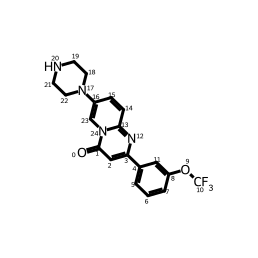 O=c1cc(-c2cccc(OC(F)(F)F)c2)nc2ccc(N3CCNCC3)cn12